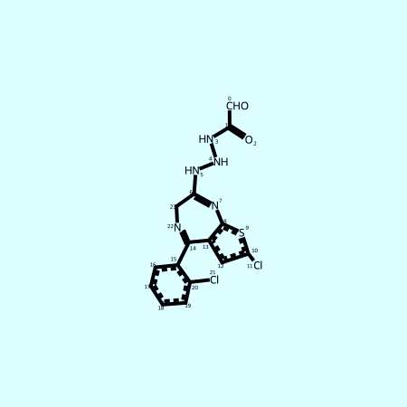 O=CC(=O)NNNC1=Nc2sc(Cl)cc2C(c2ccccc2Cl)=NC1